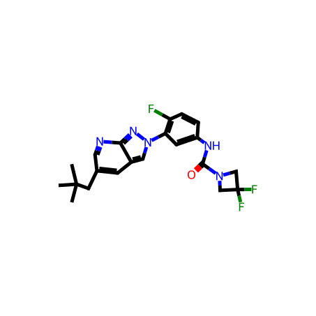 CC(C)(C)Cc1cnc2nn(-c3cc(NC(=O)N4CC(F)(F)C4)ccc3F)cc2c1